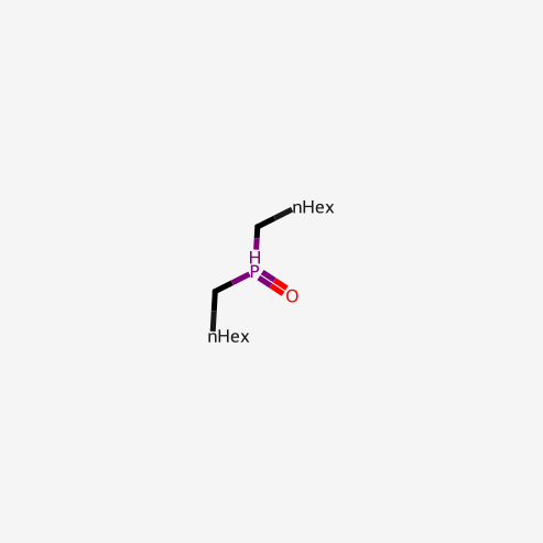 CCCCCCC[PH](=O)CCCCCCC